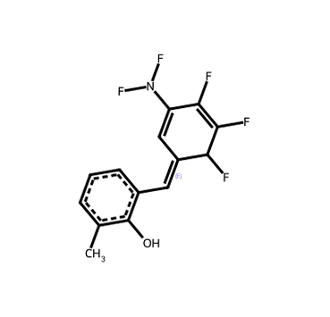 Cc1cccc(/C=C2\C=C(N(F)F)C(F)=C(F)C2F)c1O